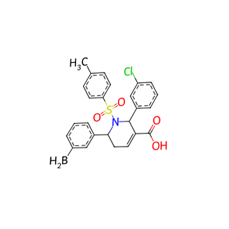 Bc1cccc(C2CC=C(C(=O)O)C(c3cccc(Cl)c3)N2S(=O)(=O)c2ccc(C)cc2)c1